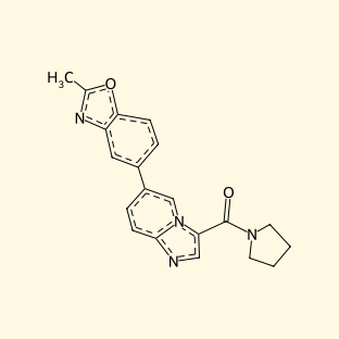 Cc1nc2cc(-c3ccc4ncc(C(=O)N5CCCC5)n4c3)ccc2o1